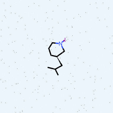 CC(C)C[C@H]1CCCN(I)C1